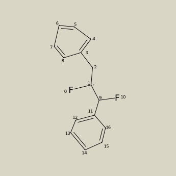 F[C](Cc1ccccc1)C(F)c1ccccc1